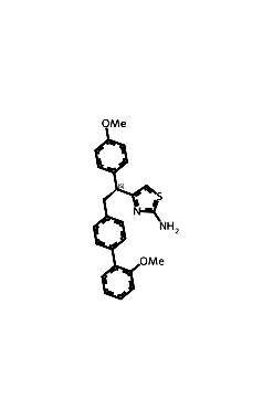 COc1ccc([C@H](Cc2ccc(-c3ccccc3OC)cc2)c2csc(N)n2)cc1